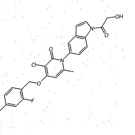 Cc1cc(OCc2ccc(F)cc2F)c(Cl)c(=O)n1-c1ccc2c(ccn2C(=O)CO)c1